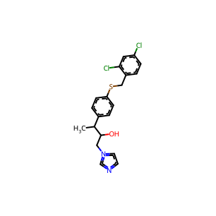 CC(c1ccc(SCc2ccc(Cl)cc2Cl)cc1)C(O)Cn1ccnc1